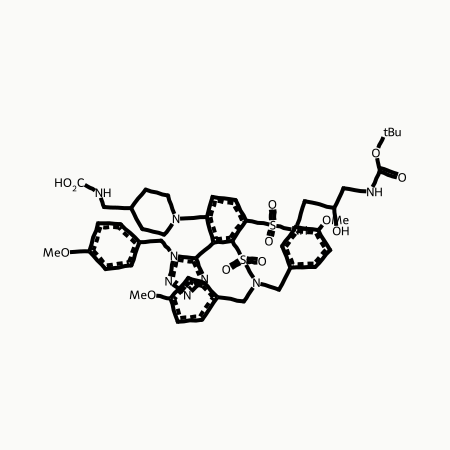 COc1ccc(CN(Cc2ccc(OC)cc2)S(=O)(=O)c2c(S(=O)(=O)NCC(O)CNC(=O)OC(C)(C)C)ccc(N3CCC(CNC(=O)O)CC3)c2-c2nnnn2Cc2ccc(OC)cc2)cc1